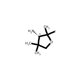 CC1(C)COC(C)(I)[C@H]1N